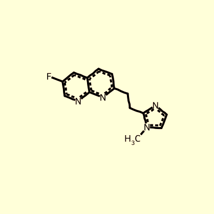 Cn1ccnc1CCc1ccc2cc(F)cnc2n1